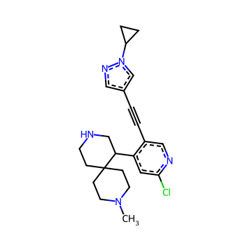 CN1CCC2(CCNCC2c2cc(Cl)ncc2C#Cc2cnn(C3CC3)c2)CC1